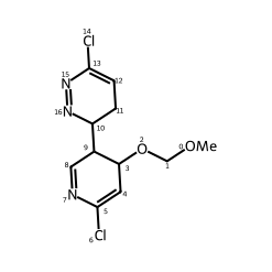 COCOC1C=C(Cl)N=CC1C1CC=C(Cl)N=N1